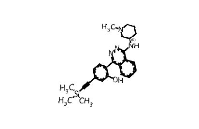 CN1CCC[C@@H](Nc2nnc(-c3ccc(C#C[Si](C)(C)C)cc3O)c3ccccc23)C1